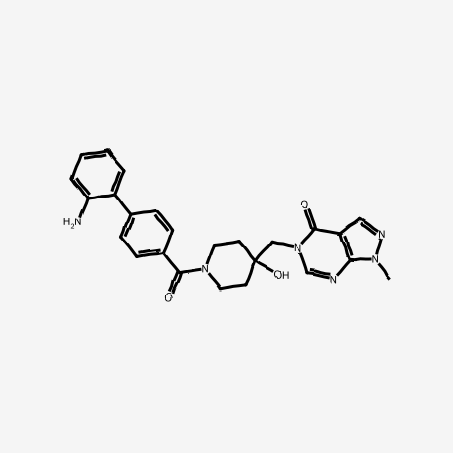 Cn1ncc2c(=O)n(CC3(O)CCN(C(=O)c4ccc(-c5ccccc5N)cc4)CC3)cnc21